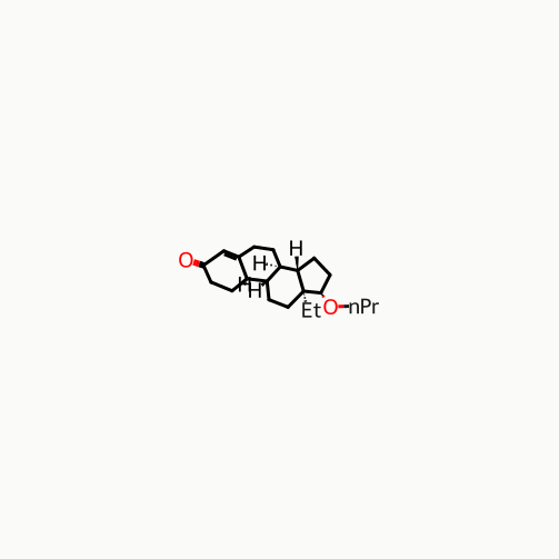 CCCO[C@H]1CC[C@H]2[C@@H]3CCC4=CC(=O)CC[C@@H]4[C@H]3CC[C@]12CC